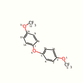 FC(F)(F)Oc1[c]cc(Oc2ccc(OC(F)(F)F)cc2)cc1